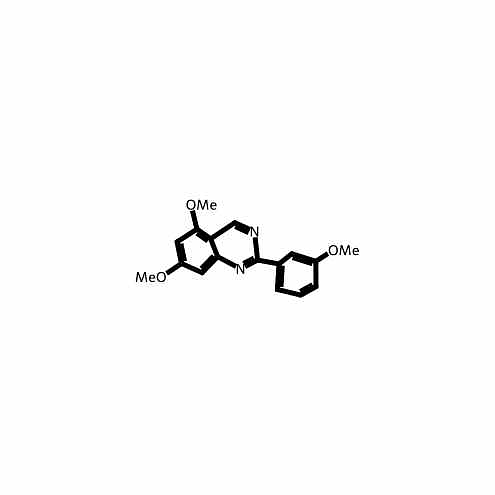 COc1cccc(-c2ncc3c(OC)cc(OC)cc3n2)c1